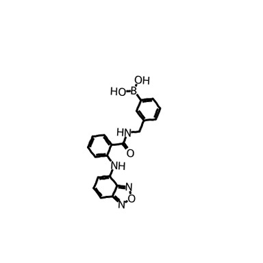 O=C(NCc1cccc(B(O)O)c1)c1ccccc1Nc1cccc2nonc12